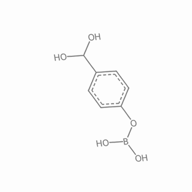 OB(O)Oc1ccc(C(O)O)cc1